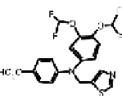 O=C(O)c1ccc(N(Cc2cncs2)c2ccc(OC(F)F)c(OC(F)F)c2)cc1